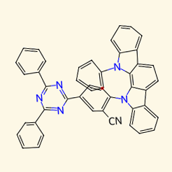 N#Cc1cc(-c2nc(-c3ccccc3)nc(-c3ccccc3)n2)ccc1-n1c2ccccc2c2ccc3c4ccccc4n(-c4ccccc4)c3c21